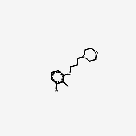 Cc1c(Br)cccc1OCCCN1CCOCC1